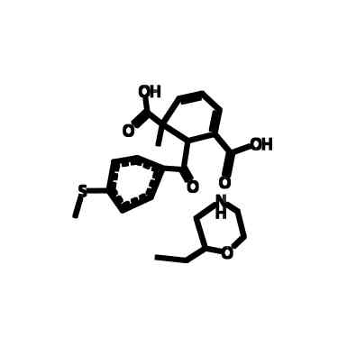 CCC1CNCCO1.CSc1ccc(C(=O)C2C(C(=O)O)=CC=CC2(C)C(=O)O)cc1